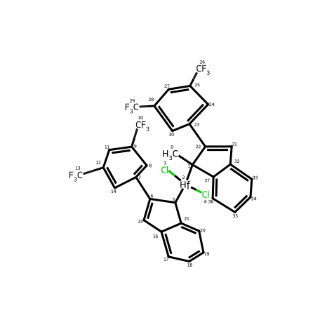 C[C]1([Hf]([Cl])([Cl])[CH]2C(c3cc(C(F)(F)F)cc(C(F)(F)F)c3)=Cc3ccccc32)C(c2cc(C(F)(F)F)cc(C(F)(F)F)c2)=Cc2ccccc21